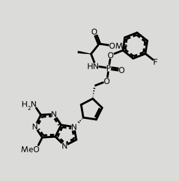 COC(=O)[C@H](C)NP(=O)(OC[C@@H]1C=C[C@H](n2cnc3c(OC)nc(N)nc32)C1)Oc1cccc(F)c1